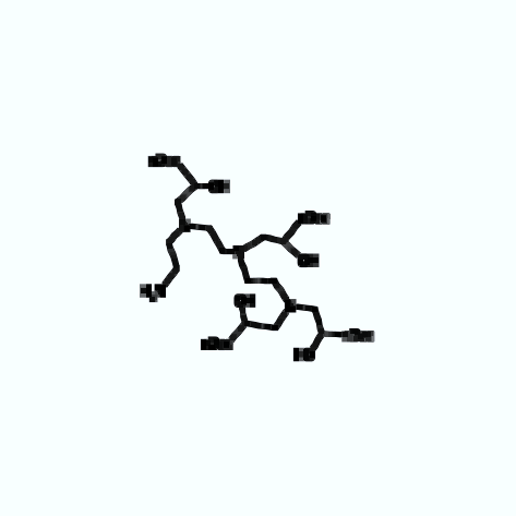 CCCCCCCCCCC(O)CN(CCN)CCN(CCN(CC(O)CCCCCCCCCC)CC(O)CCCCCCCCCC)CC(O)CCCCCCCCCC